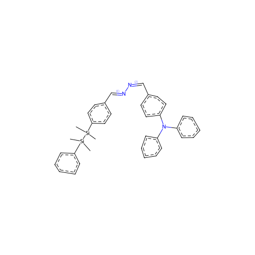 C[Si](C)(c1ccccc1)[Si](C)(C)c1ccc(/C=N/N=C\c2ccc(N(c3ccccc3)c3ccccc3)cc2)cc1